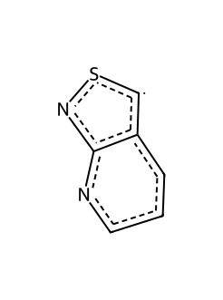 [c]1snc2ncccc12